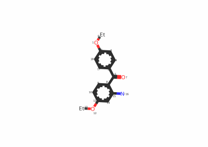 CCOc1ccc(C(=O)c2ccc(OCC)cc2[N])cc1